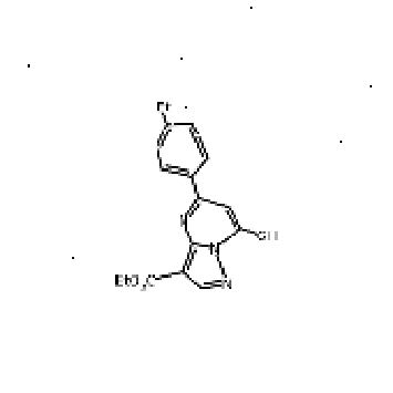 CCOC(=O)c1cnn2c(O)cc(-c3ccc(CC)cc3)nc12